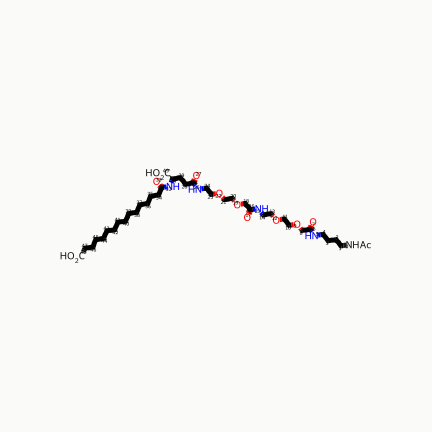 [CH2]C(=O)NCCCCNC(=O)COCCOCCNC(=O)COCCOCCNC(=O)CC[C@H](NC(=O)CCCCCCCCCCCCCCC(=O)O)C(=O)O